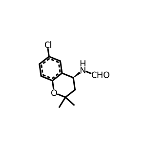 CC1(C)C[C@H](NC=O)c2cc(Cl)ccc2O1